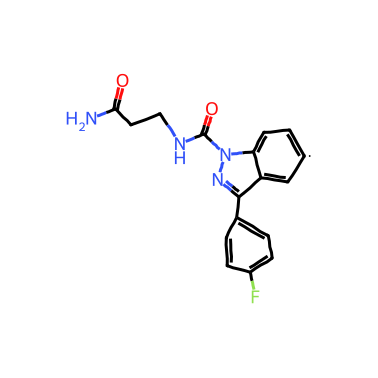 NC(=O)CCNC(=O)n1nc(-c2ccc(F)cc2)c2c[c]ccc21